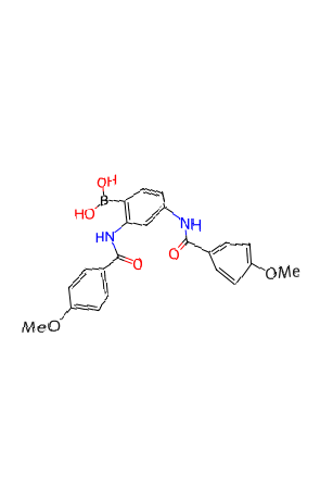 COc1ccc(C(=O)Nc2ccc(B(O)O)c(NC(=O)c3ccc(OC)cc3)c2)cc1